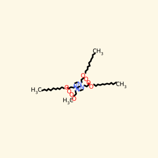 CCCCCCCCCCCCOC(=O)CCN1CCN(CCC(=O)OCCCCCCCCCCCC)C2C1N(CCC(=O)OC)CCN2CCC(=O)OCCCCCCCCCCCC